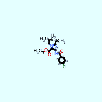 CCOC(=O)c1c(NC(=O)c2ccc(Cl)cc2)nc(CC)n1CC(C)C